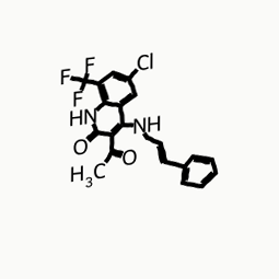 CC(=O)c1c(NCC=Cc2ccccc2)c2cc(Cl)cc(C(F)(F)F)c2[nH]c1=O